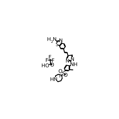 Cc1cc(S(=O)(=O)N2CCCNCC2)ccc1Nc1ncc(/C=C/c2ccc3nc(N)sc3c2)cn1.O=C(O)C(F)(F)F